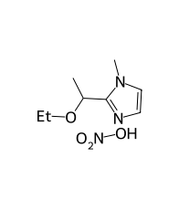 CCOC(C)c1nccn1C.O=[N+]([O-])O